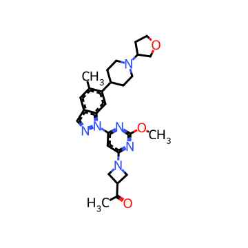 COc1nc(N2CC(C(C)=O)C2)cc(-n2ncc3cc(C)c(C4CCN(C5CCOC5)CC4)cc32)n1